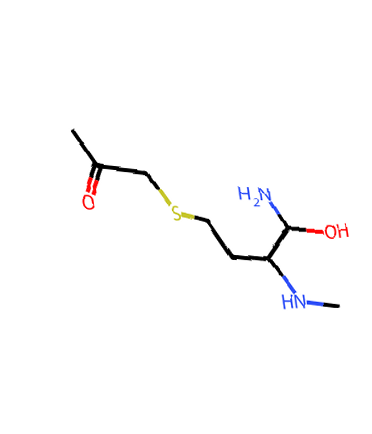 CNC(CCSCC(C)=O)C(N)O